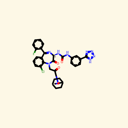 O=C(Nc1cccc(-c2nnn[nH]2)c1)N[C@@H]1N=C(c2ccccc2F)c2cccc(Cl)c2N(CC(=O)N2CC3CCC(CC3)C2)C1=O